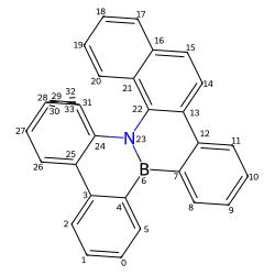 c1ccc2c(c1)B1c3ccccc3-c3ccc4ccccc4c3N1c1c-2ccc2ccccc12